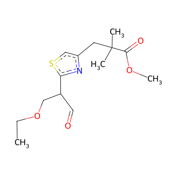 CCOCC(C=O)c1nc(CC(C)(C)C(=O)OC)cs1